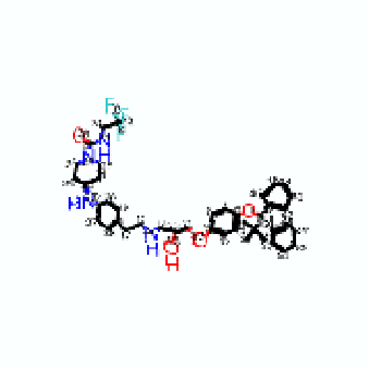 CC(C)(C)[Si](Oc1ccc(OC[C@@H](O)CNCCc2ccc(NC3CCN(C(=O)NCC(F)(F)F)CC3)cc2)cc1)(c1ccccc1)c1ccccc1